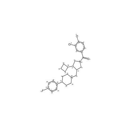 O=C(c1ccc(Cl)c(Cl)c1)N1CC(CN2CCC(c3ccc(F)cc3)CC2)C(C2CCC2)C1